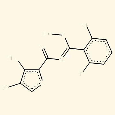 CS/C(=N\C(=O)c1scc(Br)c1C)c1c(F)cccc1Cl